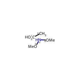 CC(=O)O.CONOC